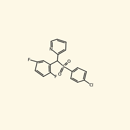 O=S(=O)(c1ccc(Cl)cc1)C(c1ccccn1)c1cc(F)ccc1F